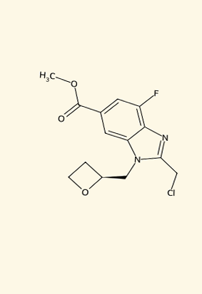 COC(=O)c1cc(F)c2nc(CCl)n(C[C@@H]3CCO3)c2c1